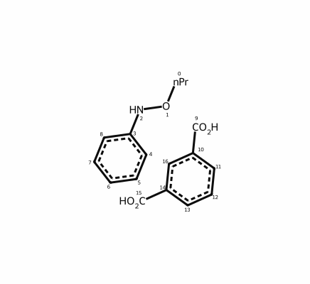 CCCONc1ccccc1.O=C(O)c1cccc(C(=O)O)c1